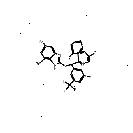 Fc1cc(C(F)(F)F)cc([C@@](Cc2ccccc2)(Nc2nc3cc(Br)cc(Br)c3[nH]2)c2ccc(Cl)cn2)c1